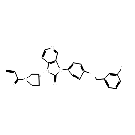 C=CC(=O)N1CC[C@@H](n2c(=O)n(-c3ccc(OCc4cccc(C(F)(F)F)c4)cc3)c3cnccc32)C1